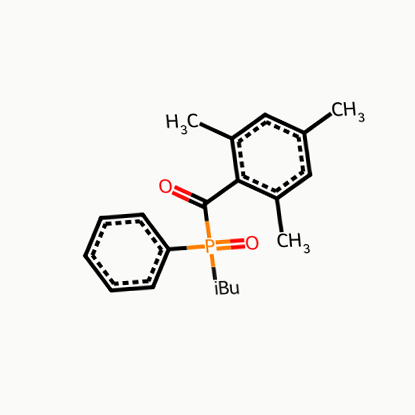 CCC(C)P(=O)(C(=O)c1c(C)cc(C)cc1C)c1ccccc1